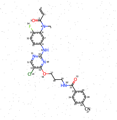 C=CC(=O)N(C)c1cc(Nc2ncc(Cl)c(OCCCNC(=O)c3ccc(C#N)cc3)n2)ccc1F